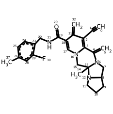 C#CC1=C2C(=C)N3CC4CCCN4C3(C)CN2C=C(C(=O)NCc2ccc(C)cc2F)C1=C